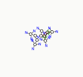 N#Cc1cc(C#N)c(-c2ccc3c(c2)c2cc(-c4c(C#N)cc(C#N)cc4C#N)ccc2n3-c2ccc(-c3ccc(C(F)(F)F)cc3C(F)(F)F)c(-c3cc(C#N)ccc3-n3c4ccc(-c5c(C#N)cc(C#N)cc5C#N)cc4c4cc(-c5c(C#N)cc(C#N)cc5C#N)ccc43)c2)c(C#N)c1